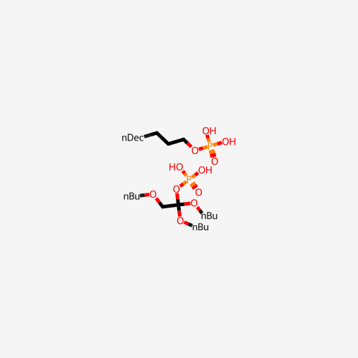 CCCCCCCCCCCCCOP(=O)(O)O.CCCCOCC(OCCCC)(OCCCC)OP(=O)(O)O